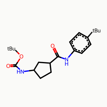 CC(C)(C)OC(=O)NC1CCC(C(=O)Nc2ccc(C(C)(C)C)cc2)C1